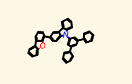 c1ccc(-c2cc(-c3ccccc3)cc(-n3c4ccccc4c4cc(-c5cccc6c5oc5ccccc56)ccc43)c2)cc1